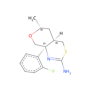 [CH2][C@@H]1C[C@H]2CSC(N)=N[C@@]2(c2ccccc2F)CO1